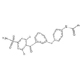 CC(C)C(=O)Nc1ccc(Oc2cccc(C(=O)c3c(Cl)cc(S(N)(=O)=O)cc3Cl)c2)cc1